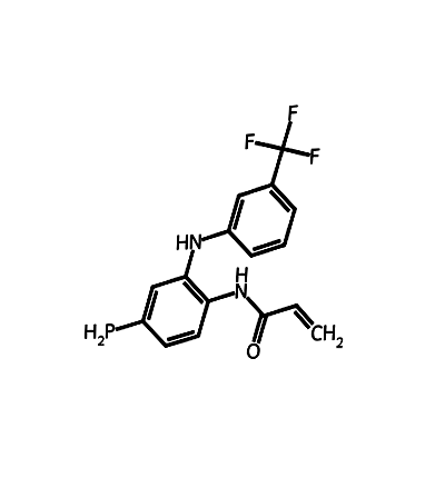 C=CC(=O)Nc1ccc(P)cc1Nc1cccc(C(F)(F)F)c1